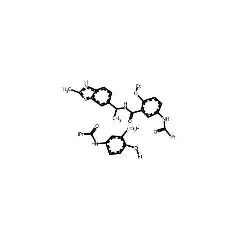 CCOc1ccc(NC(=O)C(C)C)cc1C(=O)NC(C)c1ccc2[nH]c(C)nc2c1.CCOc1ccc(NC(=O)C(C)C)cc1C(=O)O